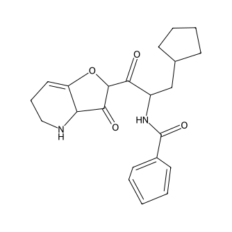 O=C(NC(CC1CCCC1)C(=O)C1OC2=CCCNC2C1=O)c1ccccc1